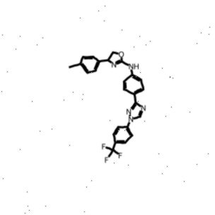 Cc1ccc(C2COC(Nc3ccc(-c4ncn(-c5ccc(C(F)(F)F)cc5)n4)cc3)=N2)cc1